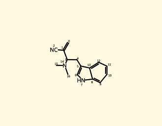 C=C(C#N)C(Cc1c[nH]c2ccccc12)N(C)C